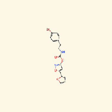 O=C(NCCc1ccc(Br)cc1)Oc1cc(-c2ccco2)on1